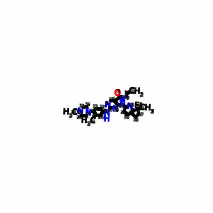 C=CCn1c(=O)c2cnc(Nc3ccc(N4CCN(C)CC4)c(C)c3)nc2n1-c1ccc2c(n1)[C@@](C)(CC)CC2